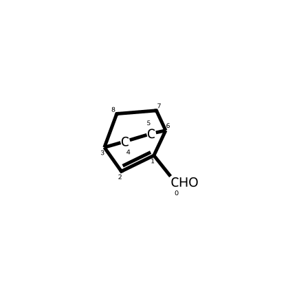 O=CC1=CC2CCC1CC2